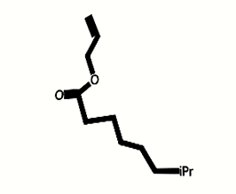 C=CCOC(=O)CCCCCC(C)C